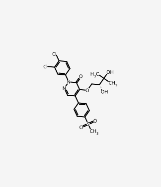 CC(C)(O)[C@H](O)COc1c(-c2ccc(S(C)(=O)=O)cc2)cnn(-c2ccc(Cl)c(Cl)c2)c1=O